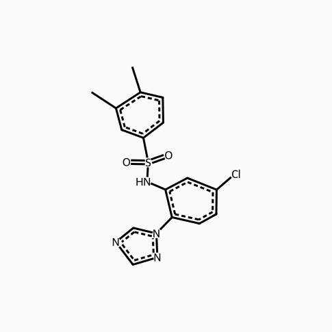 Cc1ccc(S(=O)(=O)Nc2cc(Cl)ccc2-n2cncn2)cc1C